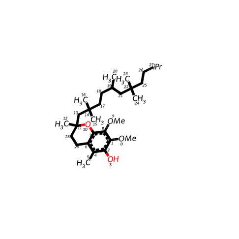 COc1c(O)c(C)c2c(c1OC)OC(C)(CC(C)(C)CCC(C)CC(C)(C)CCC(C)C)CC2